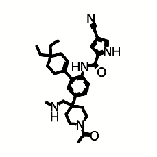 CCC1(CC)CC=C(c2cc(C3(CNC)CCN(C(C)=O)CC3)ccc2NC(=O)c2cc(C#N)c[nH]2)CC1